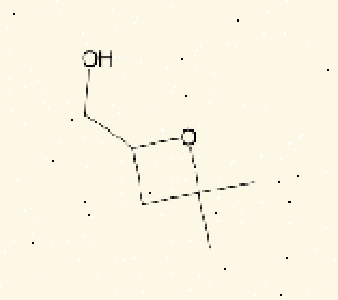 CC1(C)CC(CO)O1